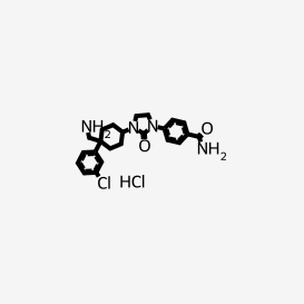 Cl.NCC1(c2cccc(Cl)c2)CCC(N2CCN(c3ccc(C(N)=O)cc3)C2=O)CC1